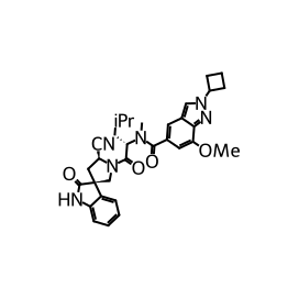 COc1cc(C(=O)N(C)[C@@H](CC(C)C)C(=O)N2C[C@]3(C[C@H]2C#N)C(=O)Nc2ccccc23)cc2cn(C3CCC3)nc12